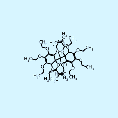 C=C(C)C(=O)OC1(C(C)(C)C2(OC(=O)C(=C)C)C(OCC)=C(OCC)C(OCC)=C(OCC)C2OCC)C(OCC)=C(OCC)C(OCC)=C(OCC)C1OCC